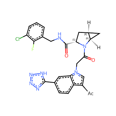 CC(=O)c1cn(CC(=O)N2[C@@H]3C[C@@H]3C[C@H]2C(=O)NCc2cccc(Cl)c2F)c2cc(-c3nnn[nH]3)ccc12